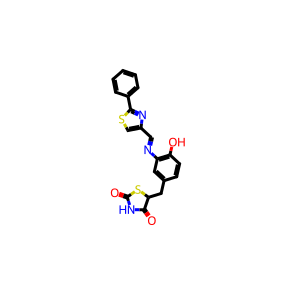 O=C1NC(=O)C(Cc2ccc(O)c(/N=C/c3csc(-c4ccccc4)n3)c2)S1